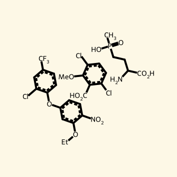 CCOc1cc(Oc2ccc(C(F)(F)F)cc2Cl)ccc1[N+](=O)[O-].COc1c(Cl)ccc(Cl)c1C(=O)O.CP(=O)(O)CCC(N)C(=O)O